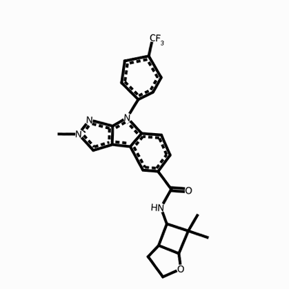 Cn1cc2c3cc(C(=O)NC4C5CCOC5C4(C)C)ccc3n(-c3ccc(C(F)(F)F)cc3)c2n1